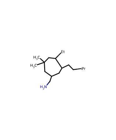 CCC1CC(C)(C)CC(CN)CC1CCC(C)C